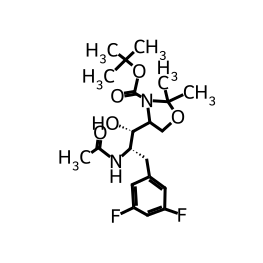 CC(=O)N[C@@H](Cc1cc(F)cc(F)c1)[C@H](O)C1COC(C)(C)N1C(=O)OC(C)(C)C